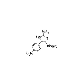 CCCCCc1nc(N)[nH]c1-c1ccc([N+](=O)[O-])cc1